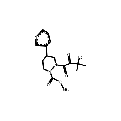 CCCCOC(=O)N1CCC(c2cccnc2)CN1C(=O)C(=O)C(C)(C)CC